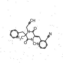 C#CCN1C(=O)C(=Cc2ccccc2C#N)N(C)C(=O)C1(C)Cc1ccccc1